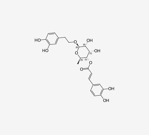 C[C@H]1O[C@@H](OCCc2ccc(O)c(O)c2)[C@H](O)[C@H](O)[C@@H]1OC(=O)C=Cc1ccc(O)c(O)c1